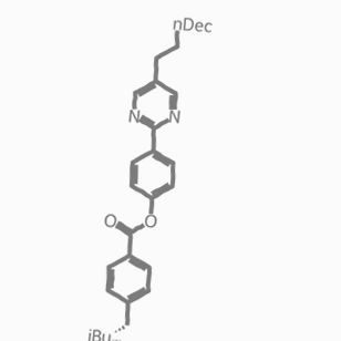 CCCCCCCCCCCCc1cnc(-c2ccc(OC(=O)c3ccc(C[C@@H](C)CC)cc3)cc2)nc1